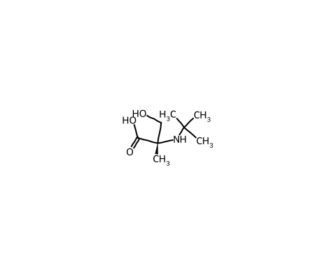 CC(C)(C)N[C@@](C)(CO)C(=O)O